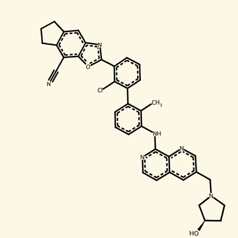 Cc1c(Nc2nccc3cc(CN4CC[C@@H](O)C4)cnc23)cccc1-c1cccc(-c2nc3cc4c(c(C#N)c3o2)CCC4)c1Cl